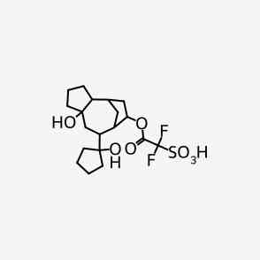 O=C(OC1CC2CC1C(C1(O)CCCC1)CC1(O)CCCC21)C(F)(F)S(=O)(=O)O